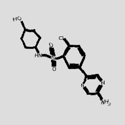 Nc1cnc(-c2ccc(Cl)c(S(=O)(=O)NC3CCC(O)CC3)c2)cn1